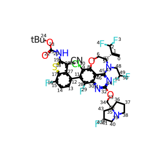 C=C(C(F)F)[C@H]1COc2c(Cl)c(-c3ccc(F)c4sc(NC(=O)OC(C)(C)C)c(C#N)c34)c(F)c3nc(OC[C@@]45CCCN4C[C@H](F)C5)nc(c23)N1CC(F)F